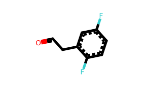 O=CCc1cc(F)ccc1F